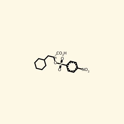 O=C(O)[C@@H](CC1CCCCC1)OS(=O)(=O)c1ccc([N+](=O)[O-])cc1